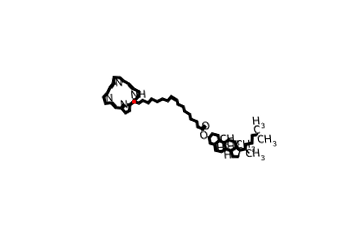 CC(C)CCC[C@@H](C)[C@H]1CC[C@H]2[C@@H]3CC=C4C[C@@H](OC(=O)CCCCCCC/C=C\CCCCCCCCC56CCC(=N5)C=C5CCC(=N5)C=C5CCC(=N5)C=C5CCC6N5)CC[C@]4(C)[C@H]3CC[C@]12C